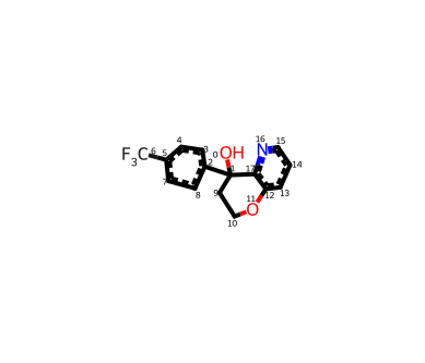 OC1(c2ccc(C(F)(F)F)cc2)CCOc2cccnc21